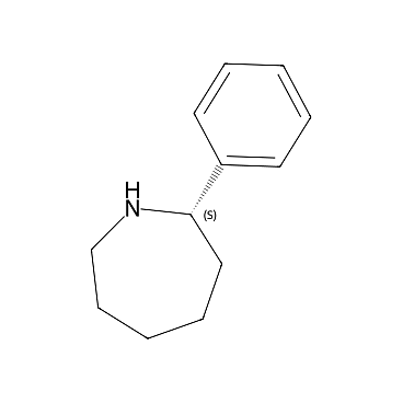 c1ccc([C@@H]2CCCCCN2)cc1